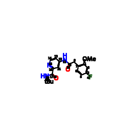 COc1cc(F)ccc1CC(=O)Nc1ccnc(C(=O)NC(C)(C)C)c1